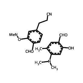 CNOc1cc(CCC#N)ccc1C=O.Cc1cc(C=O)c(O)cc1N(C)C